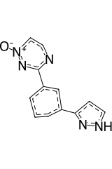 [O-][n+]1ccnc(-c2cccc(-c3cc[nH]n3)c2)n1